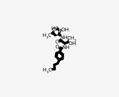 CCCCc1ccc(C(=O)N[C@H](C(=O)N[C@@H](CC(C)C)B(O)O)[C@@H](C)O)cc1